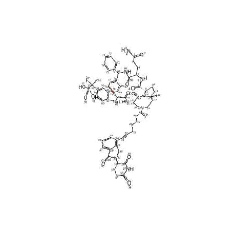 NC(=O)CCC(NC(=O)[C@@H]1CC[C@@H]2CCN(C(=O)CCCCC#Cc3cccc4c3CN(C3CCC(=O)NC3=O)C4=O)C[C@H](NC(=O)c3cc4cc(C(F)(F)P(=O)(O)O)ccc4[nH]3)C(=O)N21)C(=O)NC(c1ccccc1)c1ccccc1